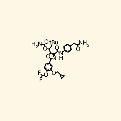 CC(C)(C)CC(OC(N)=O)c1oc(-c2ccc(OC(F)F)c(OCC3CC3)c2)nc1C(=O)Nc1ccc(CC(N)=O)cc1